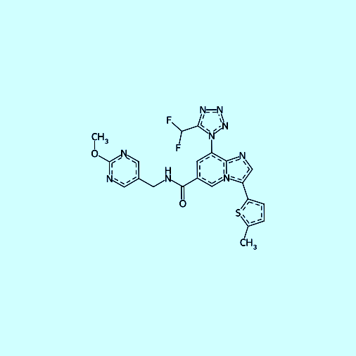 COc1ncc(CNC(=O)c2cc(-n3nnnc3C(F)F)c3ncc(-c4ccc(C)s4)n3c2)cn1